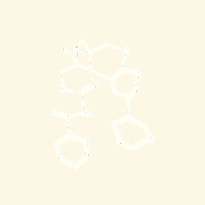 O=C(NC1=NC2(c3cc(-c4cncnc4)ccc3OCC23CC3)C(F)(F)CS1)c1ccccc1